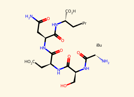 CC[C@H](C)[C@H](N)C(=O)N[C@@H](CO)C(=O)N[C@@H](CC(=O)O)C(=O)N[C@@H](CC(N)=O)C(=O)N[C@@H](CC(C)C)C(=O)O